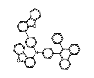 c1ccc(-c2c(-c3ccc(N(c4ccc(-c5cccc6c5oc5ccccc56)cc4)c4cccc5oc6ccccc6c45)cc3)c3ccccc3c3ccccc23)cc1